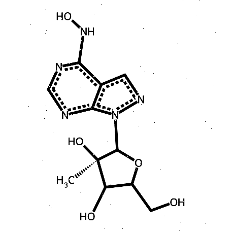 C[C@@]1(O)C(O)C(CO)OC1n1ncc2c(NO)ncnc21